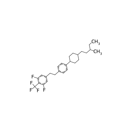 CCC(C)CCC1CCC(c2ccc(CCc3cc(F)c(C(F)(F)F)c(F)c3)cc2)CC1